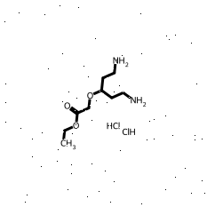 CCOC(=O)COC(CCN)CCN.Cl.Cl